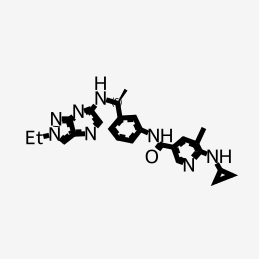 CCn1cc2ncc(N[C@@H](C)c3cccc(NC(=O)c4cnc(NC5CC5)c(C)c4)c3)nc2n1